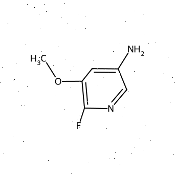 COc1cc(N)cnc1F